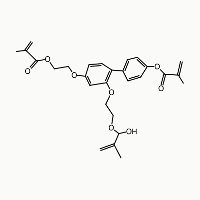 C=C(C)C(=O)OCCOc1ccc(-c2ccc(OC(=O)C(=C)C)cc2)c(OCCOC(O)C(=C)C)c1